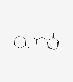 O=C(C[C@H]1NCCC[C@@H]1O)Cn1cnccc1=O